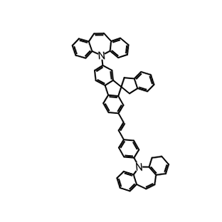 C1=CC2=C(CC1)N(c1ccc(/C=C/c3ccc4c(c3)C3(Cc5ccccc5C3)c3cc(N5c6ccccc6C=Cc6ccccc65)ccc3-4)cc1)c1ccccc1C=C2